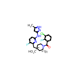 CC[C@@H]1C[C@](Cc2nc(Nc3cc(C)[nH]n3)ccc2F)(C(=O)O)CCN1C(=O)c1cccc(Cl)c1F